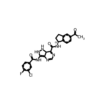 CC(=O)c1ccc2c(c1)CC[C@@H]2NC(=O)C1=NC=NC2=C(NC(=O)c3ccc(F)c(Cl)c3)NNC12